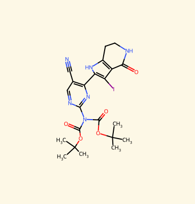 CC(C)(C)OC(=O)N(C(=O)OC(C)(C)C)c1ncc(C#N)c(-c2[nH]c3c(c2I)C(=O)NCC3)n1